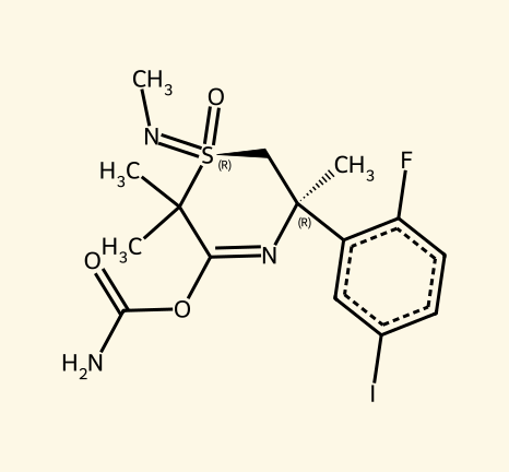 CN=[S@@]1(=O)C[C@@](C)(c2cc(I)ccc2F)N=C(OC(N)=O)C1(C)C